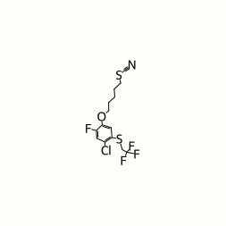 N#CSCCCCCOc1cc(SCC(F)(F)F)c(Cl)cc1F